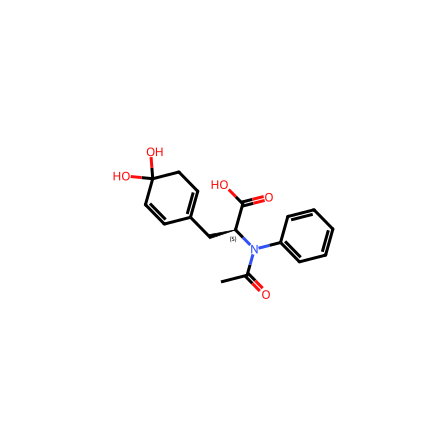 CC(=O)N(c1ccccc1)[C@@H](CC1=CCC(O)(O)C=C1)C(=O)O